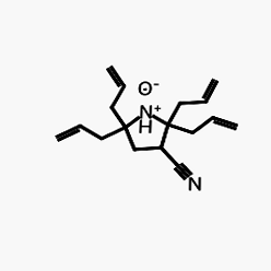 C=CCC1(CC=C)CC(C#N)C(CC=C)(CC=C)[NH+]1[O-]